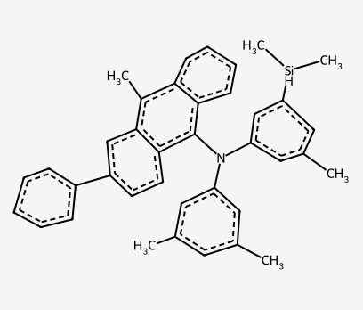 Cc1cc(C)cc(N(c2cc(C)cc([SiH](C)C)c2)c2c3ccccc3c(C)c3cc(-c4ccccc4)ccc23)c1